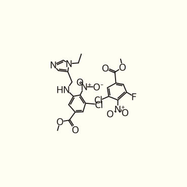 CCn1cncc1CNc1cc(C(=O)OC)cc(Cl)c1[N+](=O)[O-].COC(=O)c1cc(F)c([N+](=O)[O-])c(Cl)c1